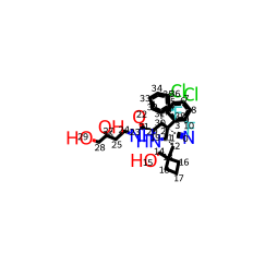 N#C[C@]1(c2ccc(Cl)cc2F)[C@H](CC2(CO)CCC2)N[C@@H](C(=O)NCC[C@H](O)CO)[C@@H]1c1cccc(Cl)c1F